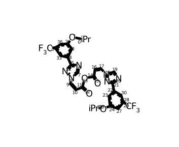 CC(C)Oc1cc(-c2ncn(/C=C\C(=O)OC(=O)/C=C\n3cnc(-c4cc(OC(C)C)cc(C(F)(F)F)c4)n3)n2)cc(C(F)(F)F)c1